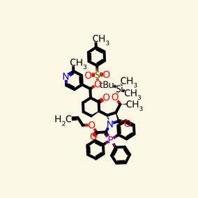 C=CCOC(=O)C(N1C(=O)[C@H]([C@@H](C)O[Si](C)(C)C(C)(C)C)[C@H]1[C@H]1CCCC(C(OS(=O)(=O)c2ccc(C)cc2)c2ccnc(C)c2)C1=O)=P(c1ccccc1)(c1ccccc1)c1ccccc1